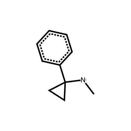 C[N]C1(c2ccccc2)CC1